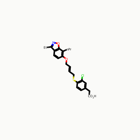 CCCc1c(OCC=CCSc2ccc(CC(=O)O)cc2Cl)ccc2c(CC)noc12